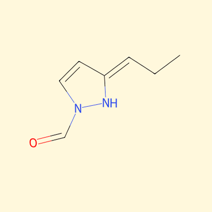 CC/C=C1/C=CN(C=O)N1